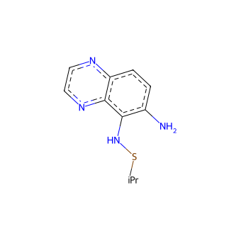 CC(C)SNc1c(N)ccc2nccnc12